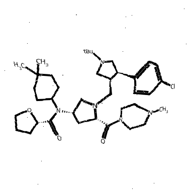 CN1CCN(C(=O)[C@@H]2C[C@H](N(C(=O)[C@@H]3CCCO3)C3CCC(C)(C)CC3)CN2C[C@H]2CN(C(C)(C)C)C[C@H]2c2ccc(Cl)cc2)CC1